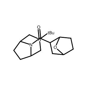 CC(C)(C)N1CC2CCC(C1)N2C(=O)C1CC2CCC1O2